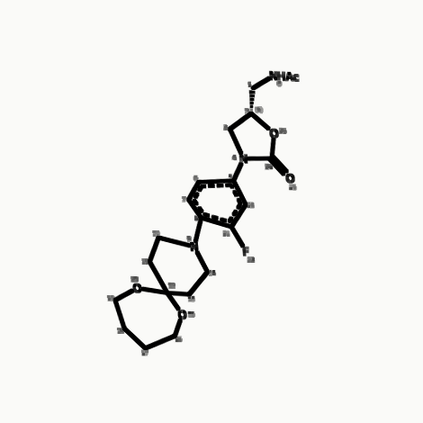 CC(=O)NC[C@H]1CN(c2ccc(N3CCC4(CC3)OCCCCO4)c(F)c2)C(=O)O1